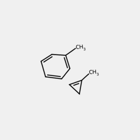 CC1=CC1.Cc1ccccc1